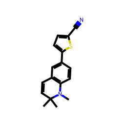 CN1c2ccc(-c3ccc(C#N)s3)cc2C=CC1(C)C